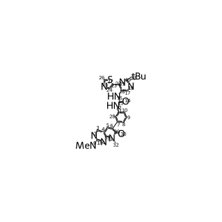 CNc1ncc2cc(-c3cccc(NC(=O)Nc4cnc(C(C)(C)C)nc4-c4cncs4)c3)c(=O)n(C)c2n1